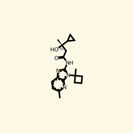 Cc1ccc2nc(NC(=O)C[C@](C)(O)C3CC3)n(C3(C)CCC3)c2n1